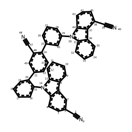 N#Cc1ccc2c(c1)c1ccccc1n2-c1ccccc1-c1ccc(-c2cccc(-n3c4ccccc4c4c(C#N)cccc43)c2)c(C#N)c1